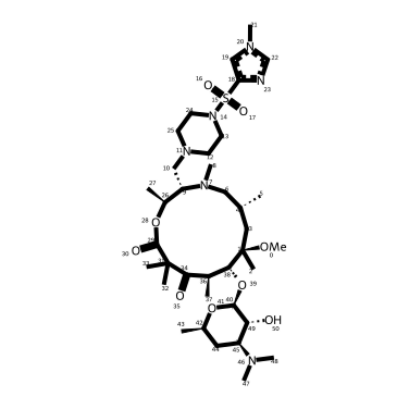 CO[C@]1(C)C[C@@H](C)CN(C)[C@@H](CN2CCN(S(=O)(=O)c3cn(C)cn3)CC2)[C@H](C)OC(=O)C(C)(C)C(=O)[C@H](C)[C@H]1O[C@@H]1O[C@H](C)C[C@H](N(C)C)[C@H]1O